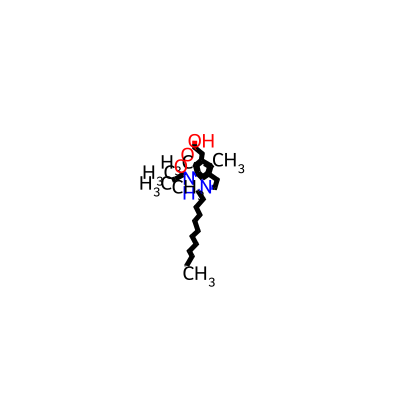 CCCCCCCCCCCCN1CCc2c(C)c(CC(=O)O)c(C)c(NC(=O)C(C)(C)C)c21